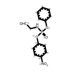 O=CCNP(=O)(Oc1ccccc1)Oc1ccc([N+](=O)[O-])cc1